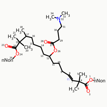 CCCCCCCCCOC(=O)C(C)(C)/C=C/CCCC(CCCCC(C)C(C)(C)C(=O)OCCCCCCCCC)OC(=O)CCCN(C)C